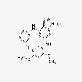 COc1ccc(Nc2nc(Nc3cccc(Cl)c3)c3cnn(C)c3n2)c(OC)c1